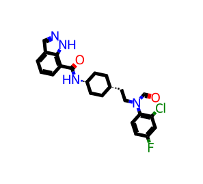 O=CN(CC[C@H]1CC[C@@H](NC(=O)c2cccc3cn[nH]c23)CC1)c1ccc(F)cc1Cl